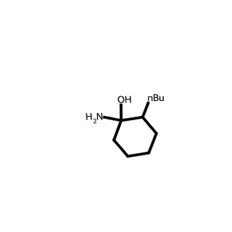 CCCCC1CCCCC1(N)O